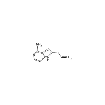 C=CCc1cc2c(N)cccc2[nH]1